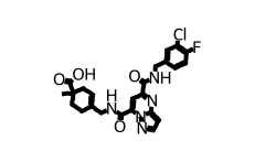 CC1(C(=O)O)CC=C(CNC(=O)c2cc(C(=O)NCc3ccc(F)c(Cl)c3)nc3ccnn23)CC1